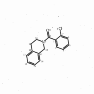 O=C(c1ccccc1Cl)N1CCc2ccccc2C1